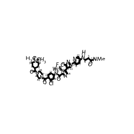 CNC(=O)CCNc1ccc(-n2cc(-c3cnc(C(=O)Nc4ccc(C(=O)N5CCN(C(=O)C6CC[N+](C)(C)CC6)CC5)c(Cl)c4)n3C)c(C(F)(F)F)n2)nc1